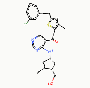 Cc1cc(Cc2cccc(Cl)c2)sc1C(=O)c1cncnc1N[C@@H]1C[C@H](CO)[C@@H](C)C1